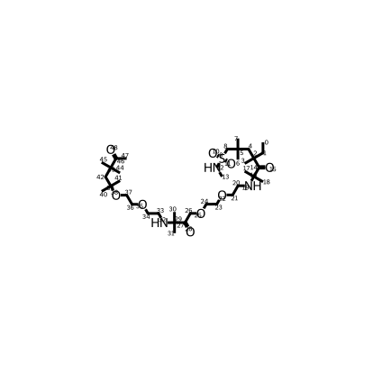 CCC(C)(CC(C)(C)CS(=O)(=O)NC)C(=O)C(C)(C)NCCOCCOCC(=O)C(C)(C)NCCOCCOC(C)(C)CC(C)(C)C(C)=O